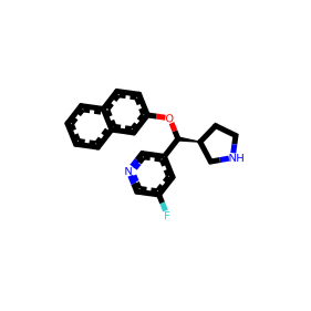 Fc1cncc(C(Oc2ccc3ccccc3c2)[C@H]2CCNC2)c1